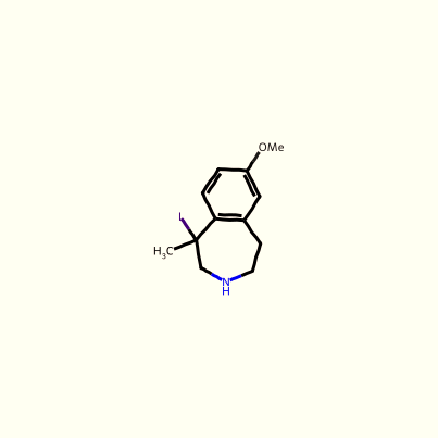 COc1ccc2c(c1)CCNCC2(C)I